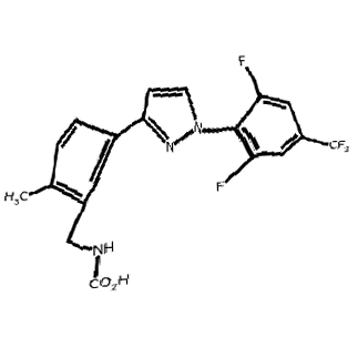 Cc1ccc(-c2ccn(-c3c(F)cc(C(F)(F)F)cc3F)n2)cc1CNC(=O)O